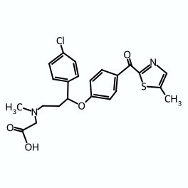 Cc1cnc(C(=O)c2ccc(OC(CCN(C)CC(=O)O)c3ccc(Cl)cc3)cc2)s1